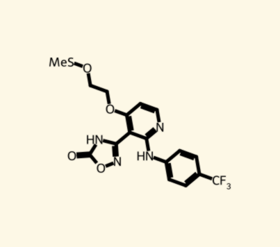 CSOCCOc1ccnc(Nc2ccc(C(F)(F)F)cc2)c1-c1noc(=O)[nH]1